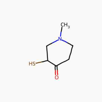 CN1CCC(=O)C(S)C1